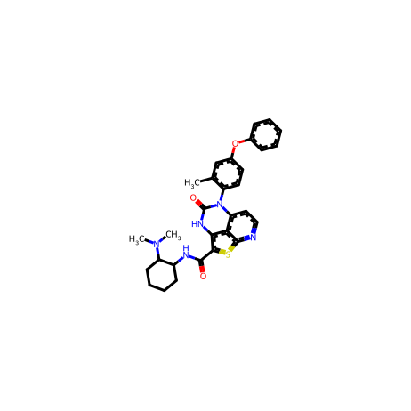 Cc1cc(Oc2ccccc2)ccc1N1C(=O)Nc2c(C(=O)NC3CCCCC3N(C)C)sc3nccc1c23